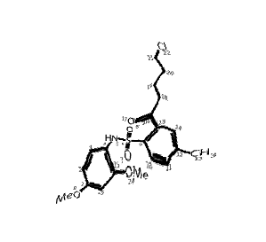 COc1ccc(NS(=O)(=O)c2ccc(C)cc2C(=O)CCCCCl)c(OC)c1